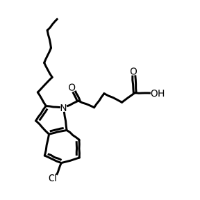 CCCCCCc1cc2cc(Cl)ccc2n1C(=O)CCCC(=O)O